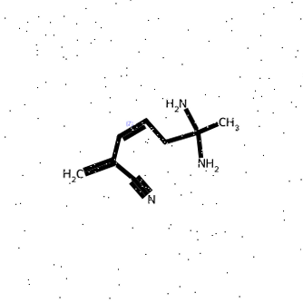 C=C(C#N)/C=C\CC(C)(N)N